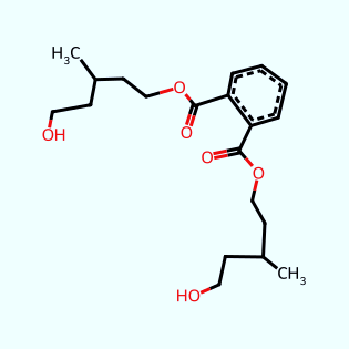 CC(CCO)CCOC(=O)c1ccccc1C(=O)OCCC(C)CCO